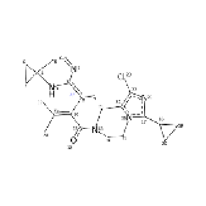 C=N/C(NC1(C)CC1)=C(\C)C(C(=O)N1CCn2c(C3CC3)nc(Cl)c2C1)=C(C)C